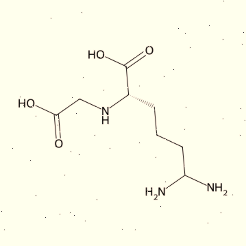 NC(N)CCC[C@H](NCC(=O)O)C(=O)O